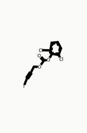 O=C(OCC#CI)Oc1c(Cl)cccc1Cl